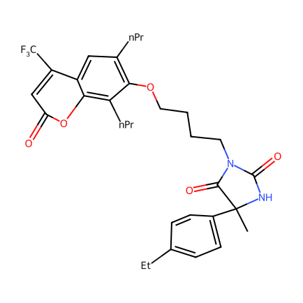 CCCc1cc2c(C(F)(F)F)cc(=O)oc2c(CCC)c1OCCCCN1C(=O)NC(C)(c2ccc(CC)cc2)C1=O